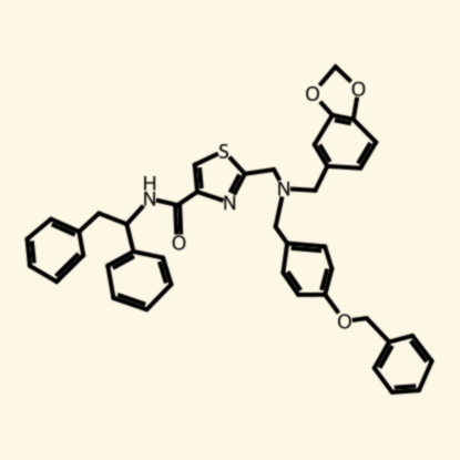 O=C(NC(Cc1ccccc1)c1ccccc1)c1csc(CN(Cc2ccc(OCc3ccccc3)cc2)Cc2ccc3c(c2)OCO3)n1